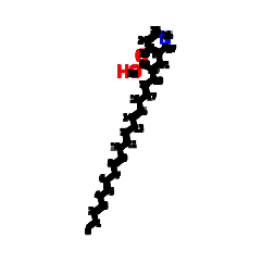 CCC=CCC=CCC=CCC=CCC=CCC=CCC(Cc1cccnc1)C(=O)O